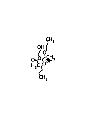 CC(=O)OCCO.CCCCOCCOCCCC.CO